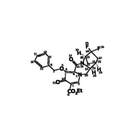 CCOC(=O)c1cn2c(c(OCc3ccccc3)c1=O)C(=O)N1[C@H](C2)[C@H]2C[C@@H]1C(F)(F)C2